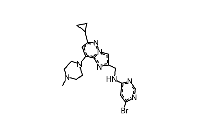 CN1CCN(c2cc(C3CC3)nn3cc(CNc4cc(Br)ncn4)nc23)CC1